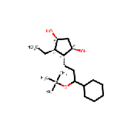 CC(C)(C)[Si](C)(C)OC(CC[C@@H]1[C@@H](CC(=O)O)[C@@H](O)C[C@H]1O)C1CCCCC1